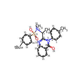 Cc1ccc(-n2c(C(C)N(C)S(=O)(=O)c3ccc(C(C)(C)C)cc3)nc3ccccc3c2=O)cc1